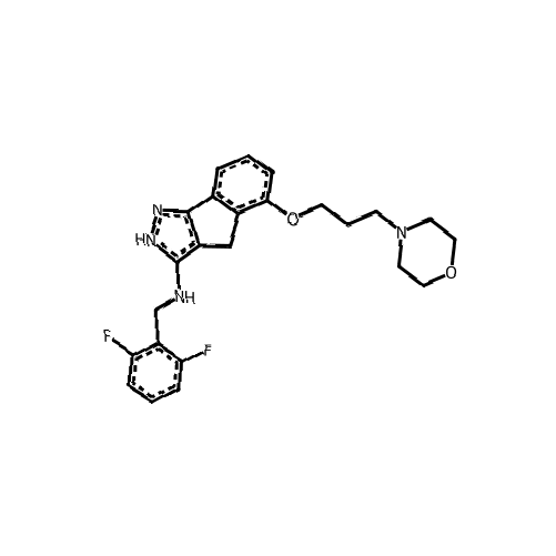 Fc1cccc(F)c1CNc1[nH]nc2c1Cc1c(OCCCN3CCOCC3)cccc1-2